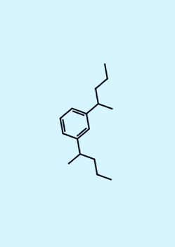 CCCC(C)c1cccc(C(C)CCC)c1